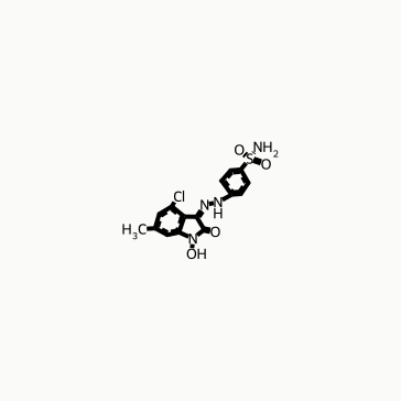 Cc1cc(Cl)c2c(c1)N(O)C(=O)C2=NNc1ccc(S(N)(=O)=O)cc1